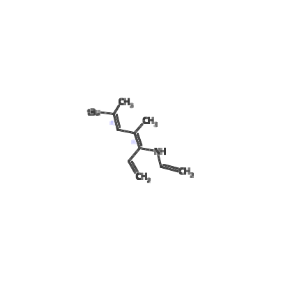 C=CN/C(C=C)=C(C)/C=C(\C)C(C)(C)C